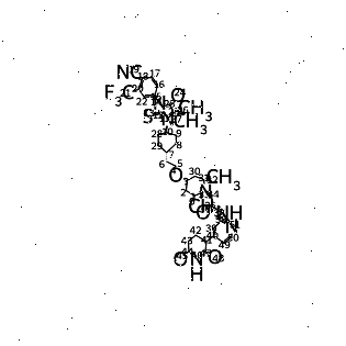 C[C@@H]1C[C@H](OCC[C@H]2CC[C@H](N3C(=S)N(c4ccc(C#N)c(C(F)(F)F)c4)C(=O)C3(C)C)CC2)C[C@H](C)N1CC(=O)Nc1cc(C2CCC(=O)NC2=O)ccn1